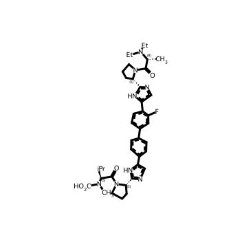 CCN(CC)[C@H](C)C(=O)N1CCC[C@H]1c1ncc(-c2ccc(-c3ccc(-c4cnc([C@@H]5CCCN5C(=O)[C@H](C(C)C)N(C)C(=O)O)[nH]4)cc3)cc2F)[nH]1